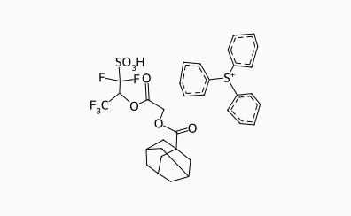 O=C(COC(=O)C12CC3CC(CC(C3)C1)C2)OC(C(F)(F)F)C(F)(F)S(=O)(=O)O.c1ccc([S+](c2ccccc2)c2ccccc2)cc1